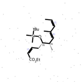 C/C=C\C(C)=C\[C@H](C)[C@H](C/C=C\C(=O)OCC)O[Si](C)(C)C(C)(C)C